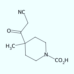 CC1(C(=O)CC#N)CCN(C(=O)O)CC1